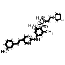 Cc1cc(Nc2ncc(/C=C/c3cccc(O)c3)cn2)cc(C)c1S(=O)(=O)N(C)CCN1CCCC1